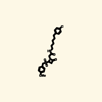 COc1ccc(CS(=O)(=O)C2CC(=O)N2CC(=O)NCCCCCCc2ccc(Cl)cc2)cc1